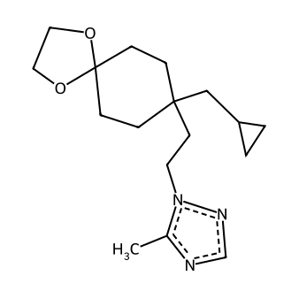 Cc1ncnn1CCC1(CC2CC2)CCC2(CC1)OCCO2